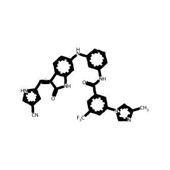 Cc1cn(-c2cc(C(=O)Nc3cccc(Nc4ccc5c(c4)NC(=O)/C5=C\c4cc(C#N)c[nH]4)c3)cc(C(F)(F)F)c2)cn1